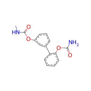 CNC(=O)Oc1cccc(-c2ccccc2OC(N)=O)c1